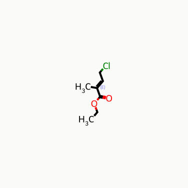 CCOC(=O)/C(C)=C/CCl